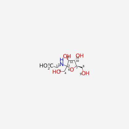 O=C(O)CNC1(CO)O[C@H](CO)[C@@H](O)[C@@H]1O